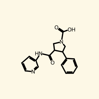 O=C(Nc1cccnc1)C1CN(C(=O)O)CC1c1ccccc1